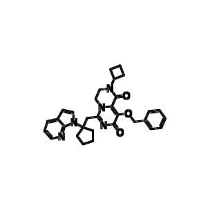 O=C1c2c(OCc3ccccc3)c(=O)nc(CC3(n4ccc5cccnc54)CCCC3)n2CCN1C1CCC1